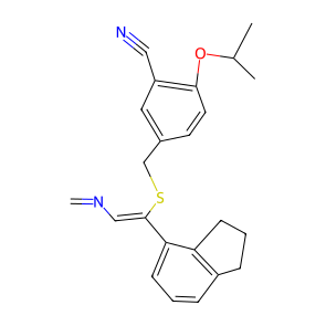 C=N/C=C(\SCc1ccc(OC(C)C)c(C#N)c1)c1cccc2c1CCC2